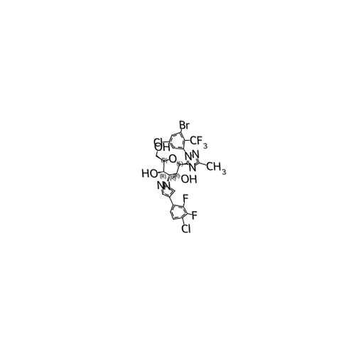 Cc1nc([C@@H]2O[C@H](CO)[C@H](O)[C@H](n3cc(-c4ccc(Cl)c(F)c4F)cn3)[C@H]2O)n(-c2cc(Cl)cc(Br)c2C(F)(F)F)n1